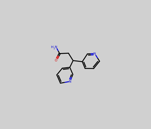 NC(=O)CC(c1cccnc1)c1cccnc1